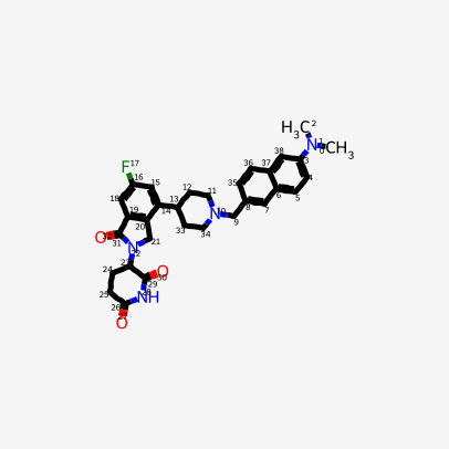 CN(C)c1ccc2cc(CN3CCC(c4cc(F)cc5c4CN(C4CCC(=O)NC4=O)C5=O)CC3)ccc2c1